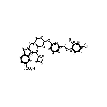 O=C(O)c1ccc2nc(CN3CCC(Oc4cccc(COc5ccc(Cl)cc5F)n4)CC3)n(C[C@@H]3CCO3)c2c1